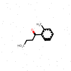 Cc1ccc#cc1C(=O)CCC(=O)O